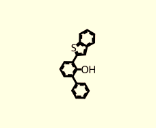 Oc1c(-c2ccccc2)cccc1-c1cc2ccccc2s1